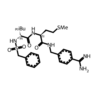 CC[C@@H](C)[C@@H](NS(=O)(=O)Cc1ccccc1)C(=O)N[C@@H](CCSC)C(=O)NCc1ccc(C(=N)N)cc1